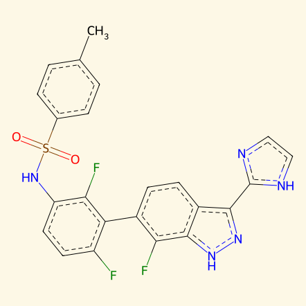 Cc1ccc(S(=O)(=O)Nc2ccc(F)c(-c3ccc4c(-c5ncc[nH]5)n[nH]c4c3F)c2F)cc1